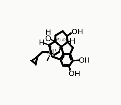 C[N@+]1(CC2CC2)CC[C@]23c4c5cc(O)c(O)c4C[C@H]2C(O)CC[C@@]3(O)[C@H]1C5